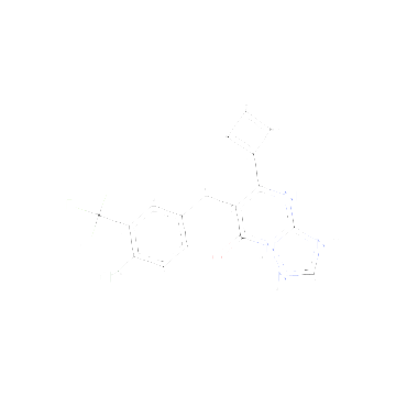 O=c1c(Cc2ccc(Cl)c(C(F)(F)F)c2)c(C2=CC=C2)[nH]c2ncnn12